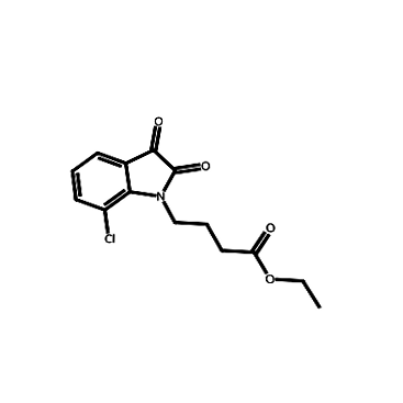 CCOC(=O)CCCN1C(=O)C(=O)c2cccc(Cl)c21